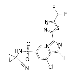 N#CC1(NS(=O)(=O)c2cc(Cl)c3c(I)nc(-c4nnc(C(F)F)s4)n3c2)CC1